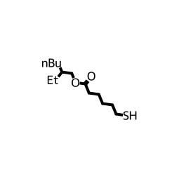 CCCCC(CC)COC(=O)CCCCCS